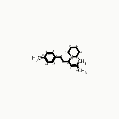 CC(C)=CC(CCc1ccc(C)cc1)N1CCCCC1